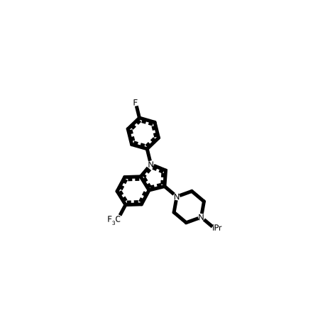 CC(C)N1CCN(c2cn(-c3ccc(F)cc3)c3ccc(C(F)(F)F)cc23)CC1